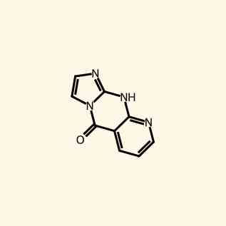 O=c1c2cccnc2[nH]c2nccn12